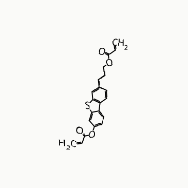 C=CC(=O)OCCCc1ccc2c(c1)sc1cc(OC(=O)C=C)ccc12